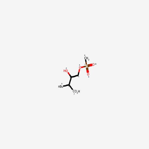 CCCCC(C(=O)O)C(O)COS(C)(=O)=O